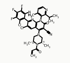 C=CC(=O)N1[C@H](C)CN(c2c(C#N)c(=O)n(-c3c(C)ccnc3C(C)C)c3nc(-c4c(N)c(F)c(F)c(F)c4Cl)c(Cl)cc23)C[C@@H]1C